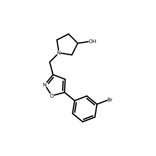 OC1CCN(Cc2cc(-c3cccc(Br)c3)on2)C1